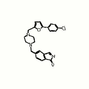 O=C1N=Cc2cc(CN3CCN(Cc4ccc(-c5ccc(Cl)cc5)o4)CC3)ccc21